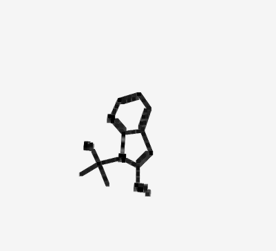 CCC(C)(C)n1c(N)cc2cccnc21